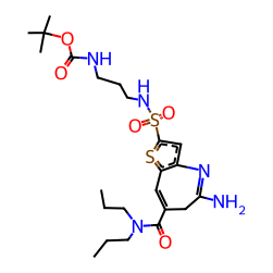 CCCN(CCC)C(=O)C1=Cc2sc(S(=O)(=O)NCCCNC(=O)OC(C)(C)C)cc2N=C(N)C1